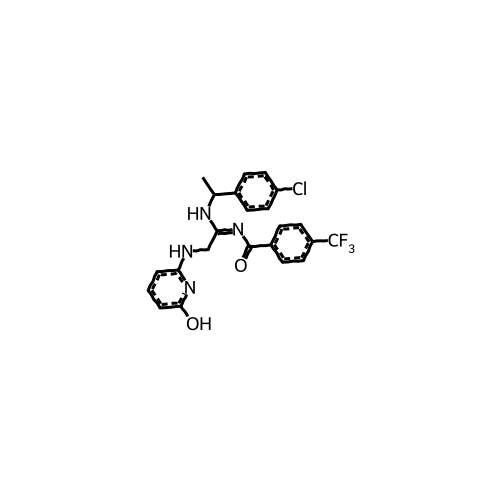 CC(N/C(CNc1cccc(O)n1)=N/C(=O)c1ccc(C(F)(F)F)cc1)c1ccc(Cl)cc1